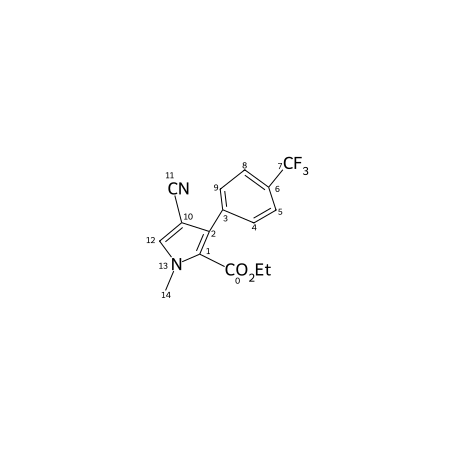 CCOC(=O)c1c(-c2ccc(C(F)(F)F)cc2)c(C#N)cn1C